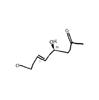 CC(=O)C[C@H](O)/C=C/CCl